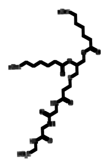 CCCCCCCCCCCCCCCC(=O)OCC(CSCCC(=O)NCC(=O)NCC(=O)NCC(=O)O)OC(=O)CCCCCCCCCCCCCCC